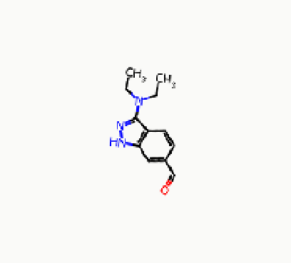 CCN(CC)c1n[nH]c2cc(C=O)ccc12